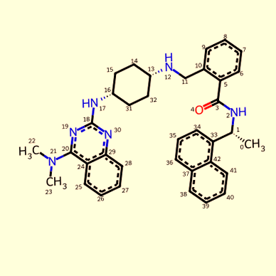 C[C@@H](NC(=O)c1ccccc1CN[C@H]1CC[C@@H](Nc2nc(N(C)C)c3ccccc3n2)CC1)c1cccc2ccccc12